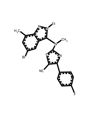 CCn1nc2c(C)cc(Br)cc2c1N(C)c1nc(-c2ccc(F)cc2)c(C#N)s1